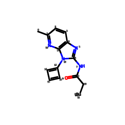 Cc1ccc2nc(NC(=O)CC(C)(C)C)n(C3=CC=C3)c2n1